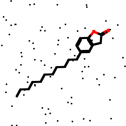 CCCCCCCCCCCc1ccc2c(c1)CC(=O)O2